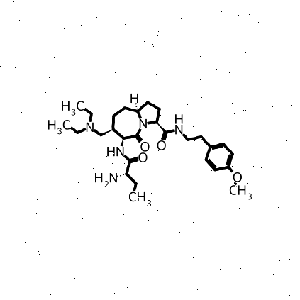 CC[C@H](N)C(=O)N[C@@H]1C(=O)N2[C@@H](CC[C@@H]1CN(CC)CC)CC[C@H]2C(=O)NCCc1ccc(OC)cc1